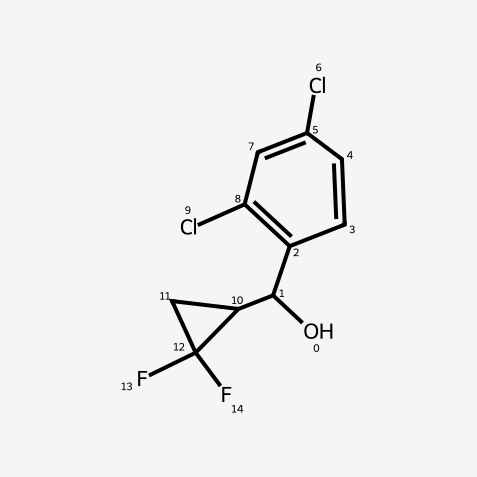 OC(c1ccc(Cl)cc1Cl)C1CC1(F)F